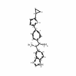 NC(c1ccc(-c2ccc(C3CC3)s2)cc1)C(N)c1ccc2[nH]cnc2c1